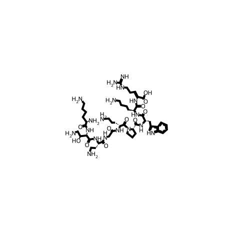 N=C(N)NCC/C=C(\NC(=O)[C@H](CCCCN)NC(=O)[C@H](Cc1c[nH]c2ccccc12)NC(=O)[C@@H]1CCCN1C(=O)[C@@H](CCCN)NC(=O)CNC(=O)[C@H](CCN)NC(=O)[C@@H](NC(=O)[C@@H](N)CCCCN)[C@@H](O)CN)C(=O)O